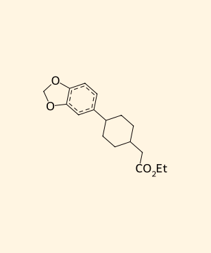 CCOC(=O)CC1CCC(c2ccc3c(c2)OCO3)CC1